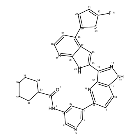 O=C(Nc1cncc(-c2ccc3[nH]nc(-c4cc5c(-c6ccc(F)s6)ccnc5[nH]4)c3n2)c1)C1CCCCC1